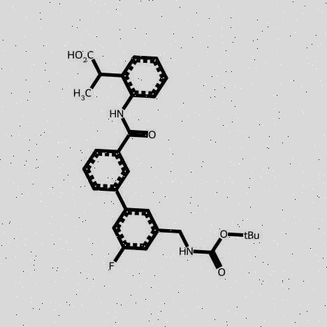 CC(C(=O)O)c1ccccc1NC(=O)c1cccc(-c2cc(F)cc(CNC(=O)OC(C)(C)C)c2)c1